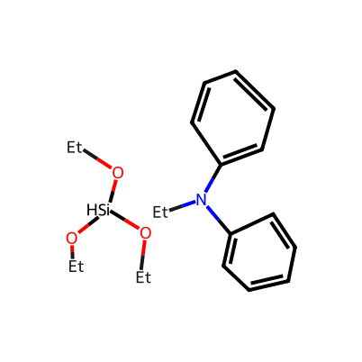 CCN(c1ccccc1)c1ccccc1.CCO[SiH](OCC)OCC